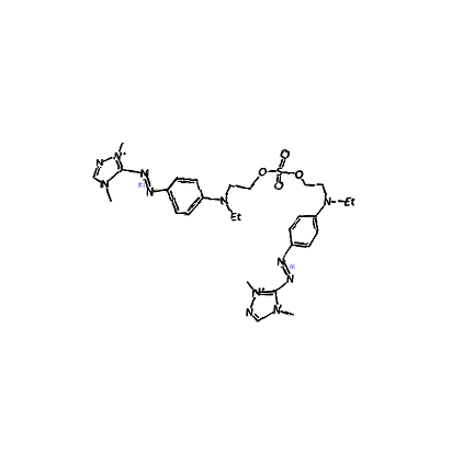 CCN(CCOS(=O)(=O)OCCN(CC)c1ccc(/N=N/c2n(C)cn[n+]2C)cc1)c1ccc(/N=N/c2n(C)cn[n+]2C)cc1